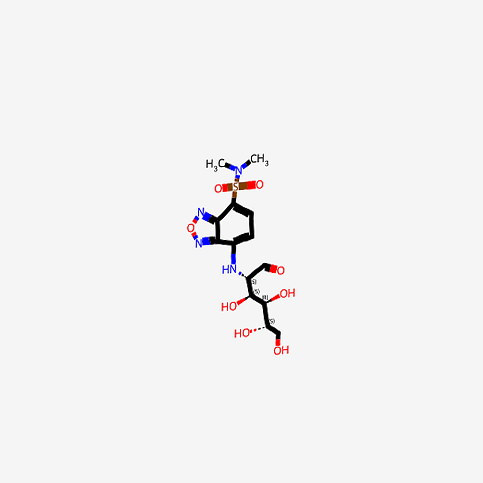 CN(C)S(=O)(=O)c1ccc(N[C@H](C=O)[C@H](O)[C@@H](O)[C@@H](O)CO)c2nonc12